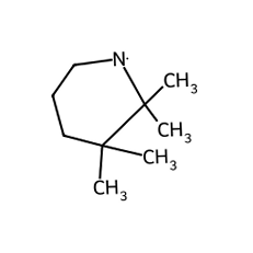 CC1(C)CCC[N]C1(C)C